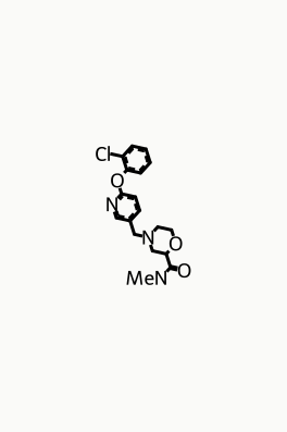 CNC(=O)C1CN(Cc2ccc(Oc3ccccc3Cl)nc2)CCO1